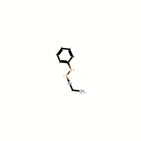 C[CH2][Zn][S]Sc1ccccc1